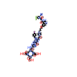 N#C[C@H]1CC(F)(F)CN1C(=O)CNC(=O)c1ccnc2ccc(OCCCCN3CCN(C(=O)CCCCCC(=O)N/N=C\C(C/C=N/NCN/N=C/c4ccc(I)cc4)NC(=O)CN4CCN(CC(=O)O)CCN(CC(=O)O)CCN(CC(=O)O)CC4)CC3)cc12